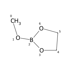 COB1OCCO1